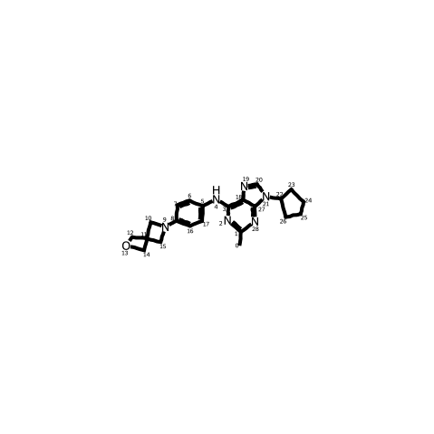 Cc1nc(Nc2ccc(N3CC4(COC4)C3)cc2)c2ncn(C3CCCC3)c2n1